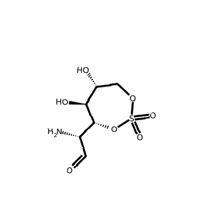 N[C@@H](C=O)[C@H]1OS(=O)(=O)OC[C@@H](O)[C@@H]1O